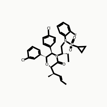 C/C=C/[C@@H](C)[C@@H]1O[C@H](c2cccc(Cl)c2)[C@@H](c2ccc(Cl)cc2)N([C@@H](CC)CN(c2ccccc2F)S(=O)(=O)C2CC2)C1=O